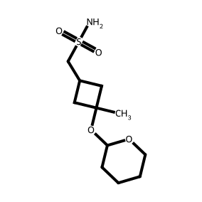 CC1(OC2CCCCO2)CC(CS(N)(=O)=O)C1